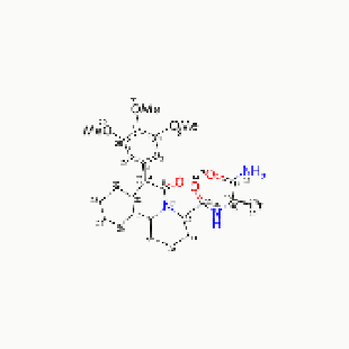 COc1cc([C@@H](C(=O)N2CCCCC2C(=O)N[C@@H](C(N)=O)C(C)C)C2CCCCC2)cc(OC)c1OC